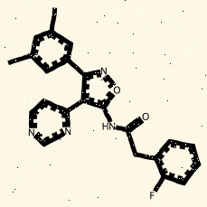 Cc1cc(C)cc(-c2noc(NC(=O)Cc3ccccc3F)c2-c2ccncn2)c1